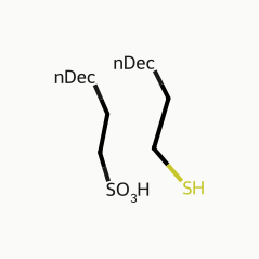 CCCCCCCCCCCCS.CCCCCCCCCCCCS(=O)(=O)O